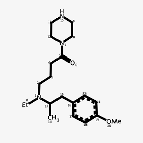 CCN(CCCC(=O)N1CCNCC1)C(C)Cc1ccc(OC)cc1